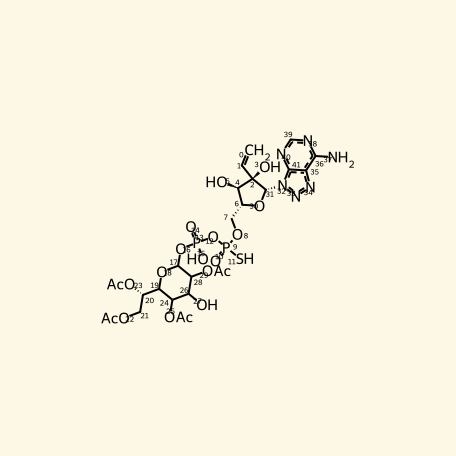 C=C[C@@]1(O)[C@H](O)[C@@H](COP(=O)(S)OP(=O)(O)OC2OC([C@H](COC(C)=O)OC(C)=O)C(OC(C)=O)C(O)C2OC(C)=O)O[C@H]1n1nnc2c(N)ncnc21